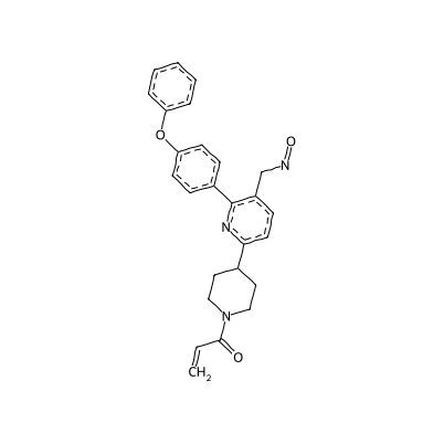 C=CC(=O)N1CCC(c2ccc(CN=O)c(-c3ccc(Oc4ccccc4)cc3)n2)CC1